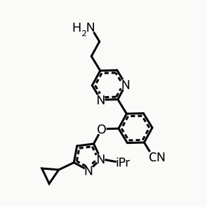 CC(C)n1nc(C2CC2)cc1Oc1cc(C#N)ccc1-c1ncc(CCN)cn1